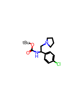 CC(C)(C)OC(=O)NC(CN1CCCC1)c1ccc(Cl)cc1